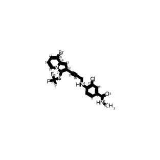 CNC(=O)c1ccc(NCC#Cc2cc3c(Br)cccn3c2SC(F)(F)F)c(Cl)c1